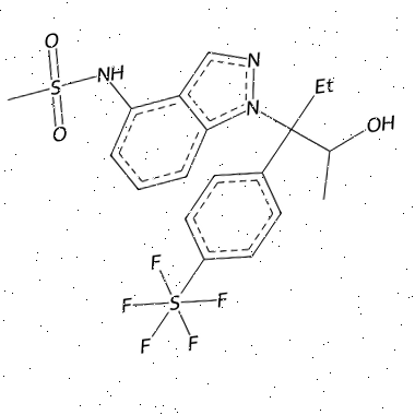 CCC(c1ccc(S(F)(F)(F)(F)F)cc1)(C(C)O)n1ncc2c(NS(C)(=O)=O)cccc21